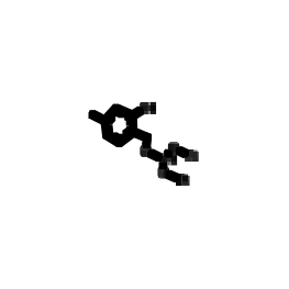 CCO[SiH](OCC)OCc1ccc(C)cc1S